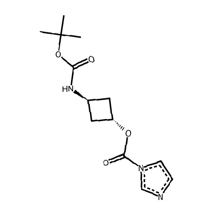 CC(C)(C)OC(=O)N[C@H]1C[C@H](OC(=O)n2ccnc2)C1